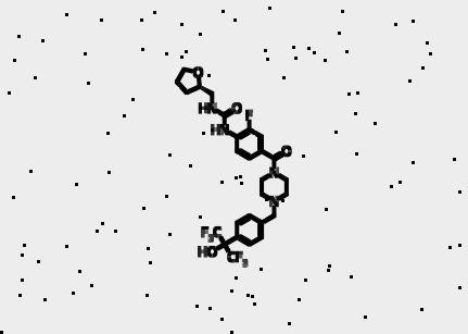 O=C(NC[C@H]1CCCO1)Nc1ccc(C(=O)N2CCN(Cc3ccc(C(O)(C(F)(F)F)C(F)(F)F)cc3)CC2)cc1F